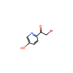 O=C(CBr)c1ccc(O)cn1